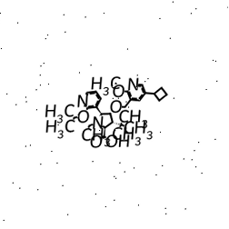 CCN1[C@H](C(=O)O)[C@@H](C(C)(C)C)[C@H](OCc2cc(C3CCC3)cnc2OC)[C@@H]1c1cccnc1OC(C)C